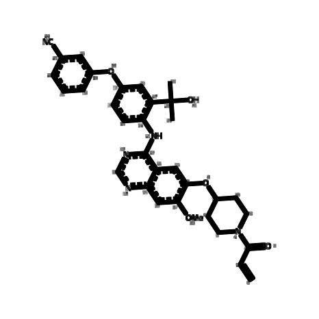 C=CC(=O)N1CCC(Oc2cc3c(Nc4ccc(Oc5cccc(C#N)c5)cc4C(C)(C)O)ncnc3cc2OC)CC1